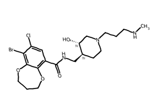 CNCCCN1CC[C@@H](CNC(=O)c2cc(Cl)c(Br)c3c2OCCCO3)[C@H](O)C1